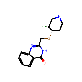 O=c1[nH]c(CS[C@H]2CCNC[C@H]2F)nc2ccccc12